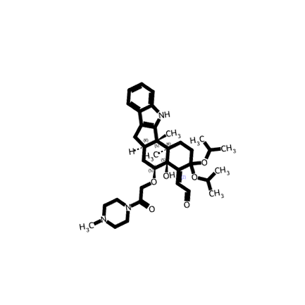 CC(C)OC1(OC(C)C)CC[C@]2(C)[C@@]3(C)c4[nH]c5ccccc5c4C[C@@H]3C[C@H](OCC(=O)N3CCN(C)CC3)[C@@]2(O)/C1=C/C=O